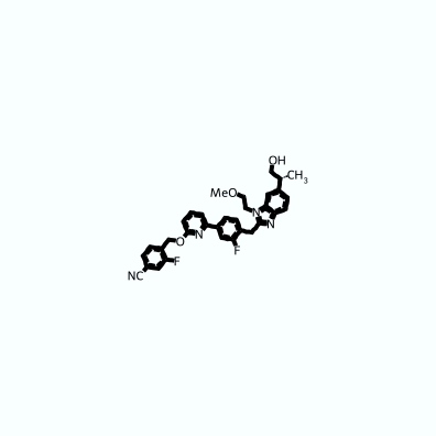 COCCn1c(Cc2ccc(-c3cccc(OCc4ccc(C#N)cc4F)n3)cc2F)nc2ccc([C@@H](C)CO)cc21